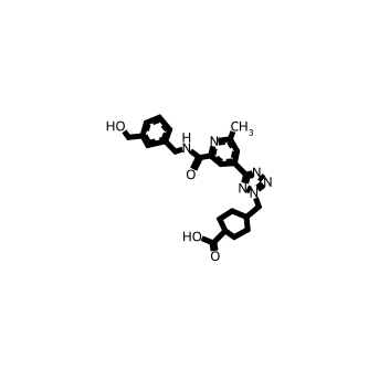 Cc1cc(-c2nnn(CC3CCC(C(=O)O)CC3)n2)cc(C(=O)NCc2cccc(CO)c2)n1